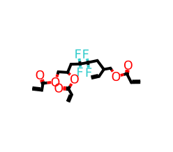 C=CC(=O)OCC(C=C)CC(F)(F)C(F)(F)CC(COC(=O)C=C)OC(=O)C=C